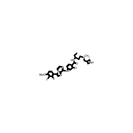 CCc1cc(Nc2nccn3c(-c4ccc(OC)c(F)c4F)cnc23)ccc1C(=O)NC(CI)CCN(C)CC1CNC1